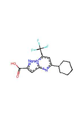 O=C(O)c1cc2nc(C3CCCCC3)cc(C(F)(F)F)n2n1